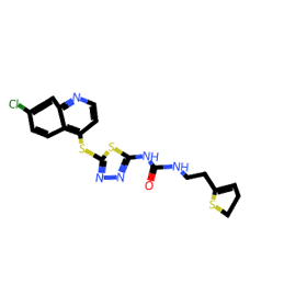 O=C(NCCC1=CCCS1)Nc1nnc(Sc2ccnc3cc(Cl)ccc23)s1